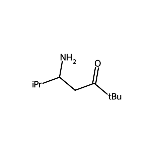 CC(C)C(N)CC(=O)C(C)(C)C